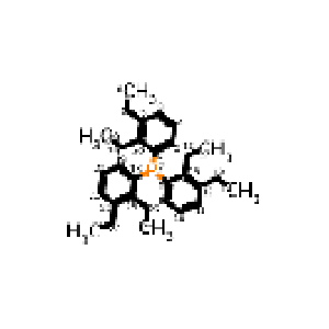 CCc1cccc(P(c2cccc(CC)c2CC)c2cccc(CC)c2CC)c1CC